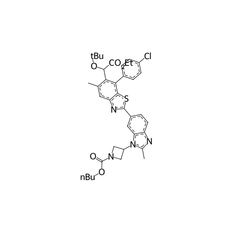 CCCCOC(=O)N1CC(n2c(C)nc3ccc(-c4nc5cc(C)c(C(OC(C)(C)C)C(=O)OCC)c(-c6ccc(Cl)cc6)c5s4)cc32)C1